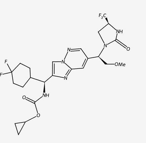 COC[C@@H](c1cnn2cc([C@@H](NC(=O)OC3CC3)C3CCC(F)(F)CC3)nc2c1)N1C[C@@H](C(F)(F)F)NC1=O